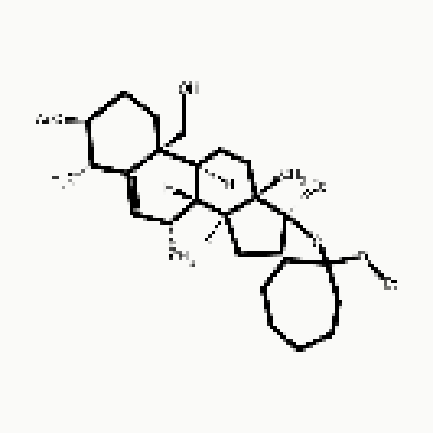 CCOC1(O[C@@]2(CC)CC[C@H]3[C@@H]4[C@H](C)C=C5[C@H](C)[C@@H](OC(C)=O)CC[C@]5(CO)[C@H]4CC[C@@]32C)CCCCCC1